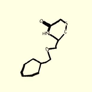 O=C1CSCC(COCC2CCCCC2)N1